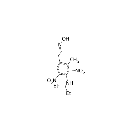 CCC(CC)Nc1c([N+](=O)[O-])cc(CC=NO)c(C)c1[N+](=O)[O-]